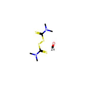 CN(C)C(=S)SSC(=S)N(C)C.[O]=[Zn]